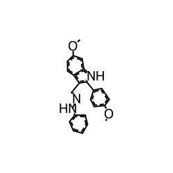 COc1ccc(-c2[nH]c3cc(OC)ccc3c2C=NNc2ccccc2)cc1